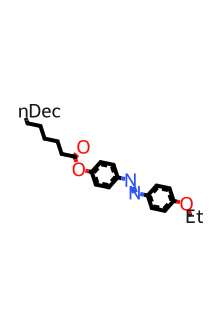 CCCCCCCCCCCCCCCC(=O)Oc1ccc(/N=N/c2ccc(OCC)cc2)cc1